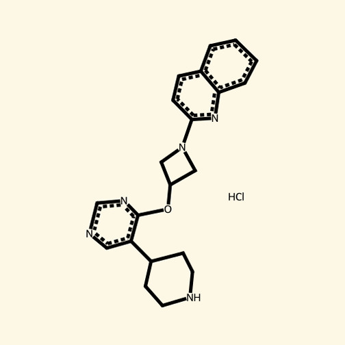 Cl.c1ccc2nc(N3CC(Oc4ncncc4C4CCNCC4)C3)ccc2c1